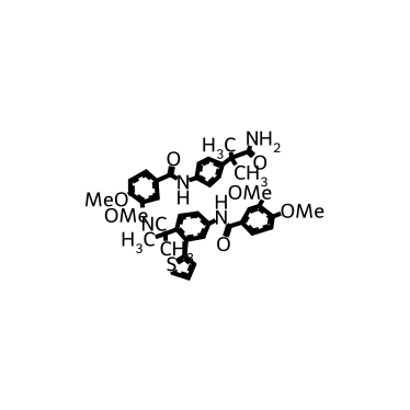 COc1ccc(C(=O)Nc2ccc(C(C)(C)C#N)c(-c3cccs3)c2)cc1OC.COc1ccc(C(=O)Nc2ccc(C(C)(C)C(N)=O)cc2)cc1OC